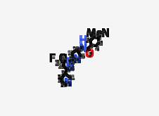 CNc1cccc(C(=O)Nc2ccc(-n3nc(-c4cccnc4)cc3C(F)(F)F)nc2)c1